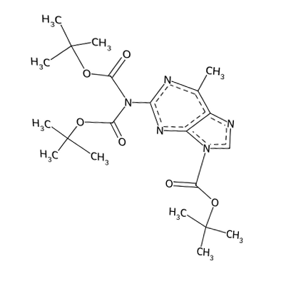 Cc1nc(N(C(=O)OC(C)(C)C)C(=O)OC(C)(C)C)nc2c1ncn2C(=O)OC(C)(C)C